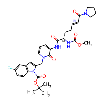 COC(=O)N[C@@H](CC/C=C/C(=O)N1CCCC1)C(=O)Nc1cccn(Cc2cc3cc(F)ccc3n2C(=O)OC(C)(C)C)c1=O